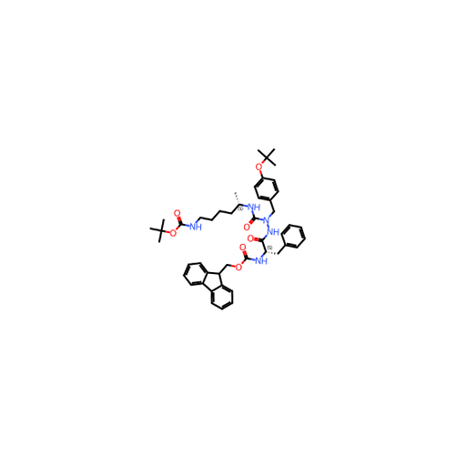 C[C@@H](CCCCNC(=O)OC(C)(C)C)NC(=O)N(Cc1ccc(OC(C)(C)C)cc1)NC(=O)[C@H](Cc1ccccc1)NC(=O)OCC1c2ccccc2-c2ccccc21